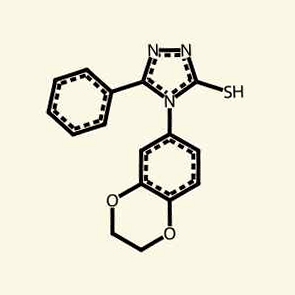 Sc1nnc(-c2ccccc2)n1-c1ccc2c(c1)OCCO2